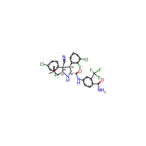 C=C(C)C[C@@H]1N[C@@H](C(=O)Nc2ccc(C(N)=O)c(C(F)(F)F)c2)[C@H](c2cccc(Cl)c2F)[C@@]1(C#N)c1ccc(Cl)cc1F